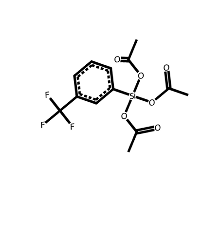 CC(=O)O[Si](OC(C)=O)(OC(C)=O)c1cccc(C(F)(F)F)c1